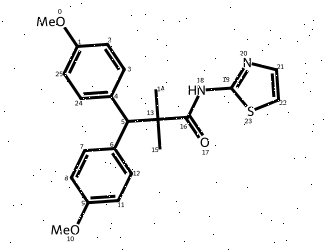 COc1ccc(C(c2ccc(OC)cc2)C(C)(C)C(=O)Nc2nccs2)cc1